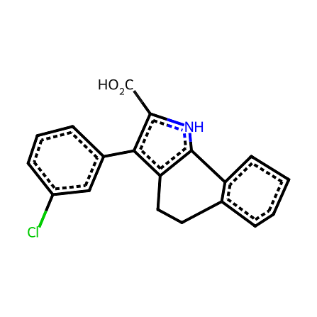 O=C(O)c1[nH]c2c(c1-c1cccc(Cl)c1)CCc1ccccc1-2